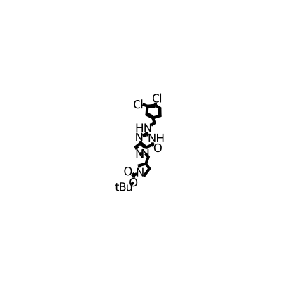 CC(C)(C)OC(=O)N1CCC(Cn2ncc3nc(NCc4ccc(Cl)c(Cl)c4)[nH]c(=O)c32)C1